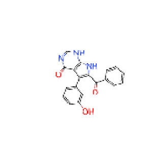 O=C(c1ccccc1)c1[nH]c2[nH]cnc(=O)c2c1-c1cccc(O)c1